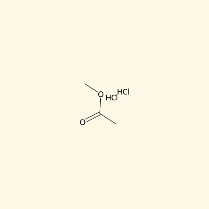 COC(C)=O.Cl.Cl